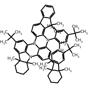 Cc1ccc(C(C)(C)C)cc1C1(C)CCCCC1(C)Cc1cc2c3c(c1)N1c4c(cc(C(C)(C)C)cc4C4(C)CCCCC14C)B3c1ccc3c(c1N2c1c(C)cc(C(C)(C)C)cc1C)C(C)(C)c1ccccc1-3